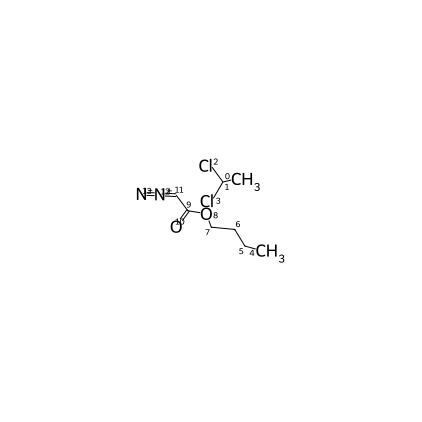 CC(Cl)Cl.CCCCOC(=O)C=[N+]=[N-]